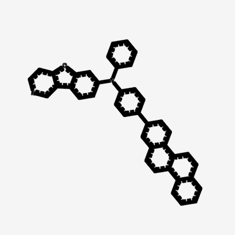 c1ccc(N(c2ccc(-c3ccc4c(ccc5c6ccccc6ccc45)c3)cc2)c2ccc3c(c2)oc2ccncc23)cc1